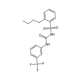 CCCCc1ccccc1S(=O)(=O)NC(=O)Nc1cccc(C(F)(F)F)c1